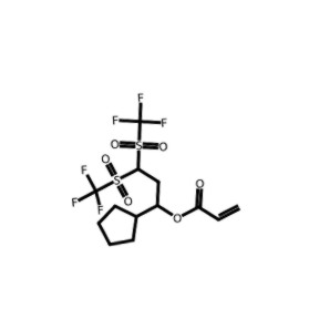 C=CC(=O)OC(CC(S(=O)(=O)C(F)(F)F)S(=O)(=O)C(F)(F)F)C1CCCC1